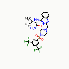 CC(C)[C@H](Nc1nc(CN2CCN(S(=O)(=O)c3cc(C(F)(F)F)cc(C(F)(F)F)c3)CC2)nc2ccccc12)C(N)=O